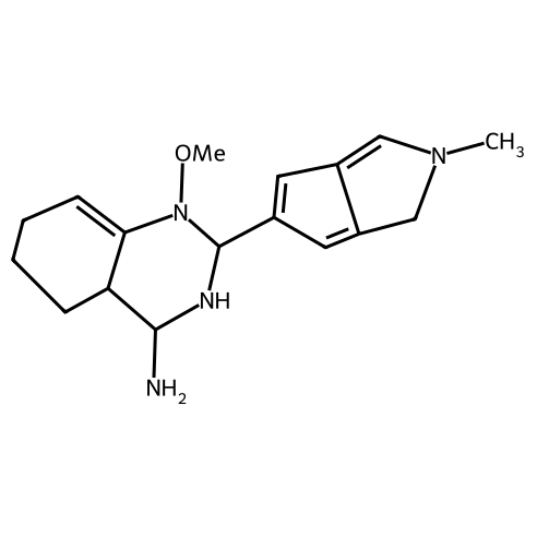 CON1C2=CCCCC2C(N)NC1C1=CC2=CN(C)CC2=C1